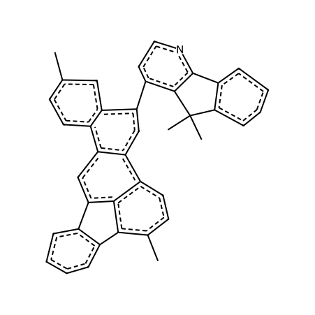 Cc1ccc2c(c1)c(-c1ccnc3c1C(C)(C)c1ccccc1-3)cc1c3ccc(C)c4c3c(cc21)-c1ccccc1-4